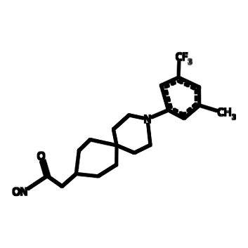 Cc1cc(N2CCC3(CCC(CC(=O)N=O)CC3)CC2)cc(C(F)(F)F)c1